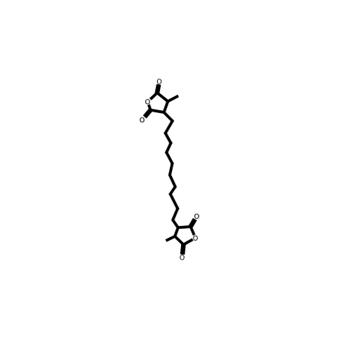 CC1C(=O)OC(=O)C1CCCCCCCCCCC1C(=O)OC(=O)C1C